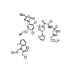 C#CCOc1cc(-n2nc(C(C)(C)C)oc2=O)c(Cl)cc1Cl.CC1(C)OC(c2ccco2)CN1C(=O)C(Cl)Cl.CCOCN(C(=O)CCl)c1c(C)cccc1CC.O=C(O)CNCP(=O)(O)O